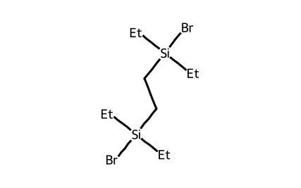 CC[Si](Br)(CC)CC[Si](Br)(CC)CC